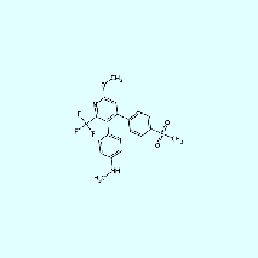 CNc1ccc(-c2c(-c3ccc(S(C)(=O)=O)cc3)cc(OC)nc2C(F)(F)F)cc1